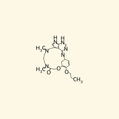 CCCOC1=C2CC(C=C1)/N=C1\N=CNc3[nH]cc(c31)CN(C)CCCN(C)C(=O)CO2